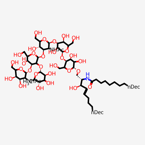 CCCCCCCCCCCCC/C=C/[C@@H](O)[C@H](CO[C@@H]1OC(CO)[C@@H](O[C@@H]2OC(CO)[C@H](O)[C@H](O[C@@H]3OC(CO)[C@@H](O)[C@H](O[C@@H]4OC(CO)[C@H](O)[C@H](O[C@H]5OC(CO)[C@H](O)[C@H](O)C5NC(C)=O)C4O[C@H]4OC(C)[C@@H](O)C(O)[C@@H]4O)C3NC(C)=O)C2O)[C@H](O)C1O)NC(=O)CCCCCCCCCCCCCCCCC